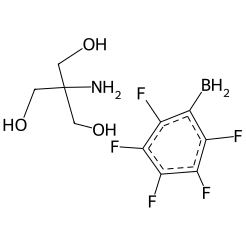 Bc1c(F)c(F)c(F)c(F)c1F.NC(CO)(CO)CO